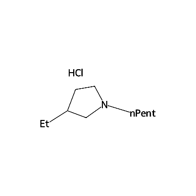 CCCCCN1CCC(CC)C1.Cl